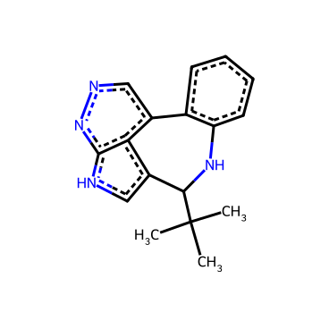 CC(C)(C)C1Nc2ccccc2-c2cnnc3[nH]cc1c23